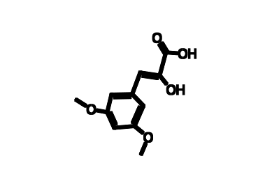 COc1cc(C=C(O)C(=O)O)cc(OC)c1